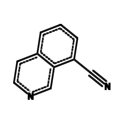 N#Cc1cccc2ccncc12